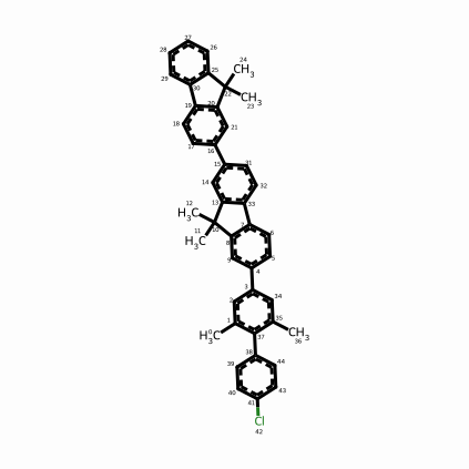 Cc1cc(-c2ccc3c(c2)C(C)(C)c2cc(-c4ccc5c(c4)C(C)(C)c4ccccc4-5)ccc2-3)cc(C)c1-c1ccc(Cl)cc1